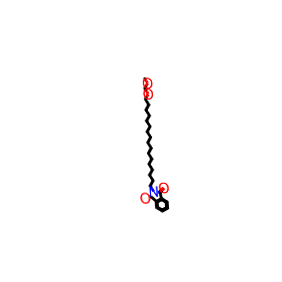 COCOCCCCCCCCCCCCCCCCCN1C(=O)c2ccccc2C1=O